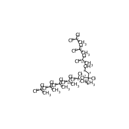 CC(Cl)(Cl)CCO.CC(Cl)Cl.CC(Cl)Cl.CC(Cl)Cl.CC(Cl)Cl.CC(Cl)Cl.CC(Cl)Cl.CC(Cl)Cl.CC(Cl)Cl